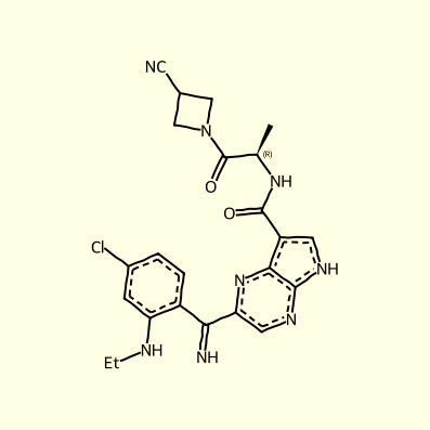 CCNc1cc(Cl)ccc1C(=N)c1cnc2[nH]cc(C(=O)N[C@H](C)C(=O)N3CC(C#N)C3)c2n1